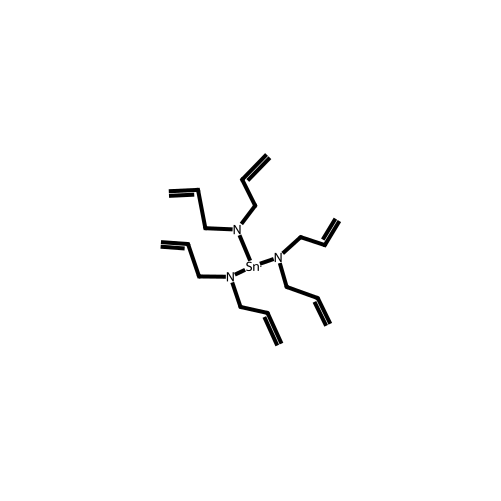 C=CC[N](CC=C)[Sn]([N](CC=C)CC=C)[N](CC=C)CC=C